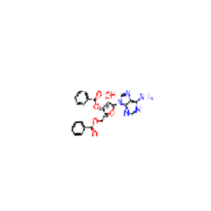 Nc1ncnc2c1ncn2[C@H]1O[C@@H](COC(=O)c2ccccc2)[C@H](OC(=O)c2ccccc2)[C@@H]1O